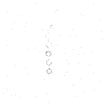 C=CCCC1CCC(C2CC=C(c3ccc(-c4ccc(-c5ccc(OCC)c(F)c5F)cc4)cc3F)CC2)CC1